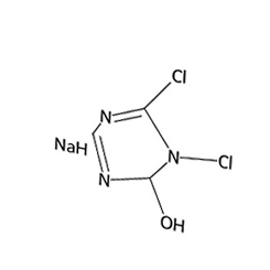 OC1N=CN=C(Cl)N1Cl.[NaH]